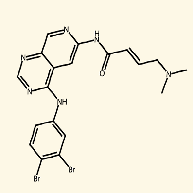 CN(C)CC=CC(=O)Nc1cc2c(Nc3ccc(Br)c(Br)c3)ncnc2cn1